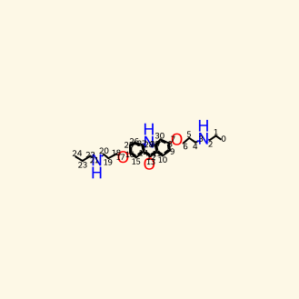 CCCNCCCOc1ccc2c(=O)c3cc(OCCCNCCC)ccc3[nH]c2c1